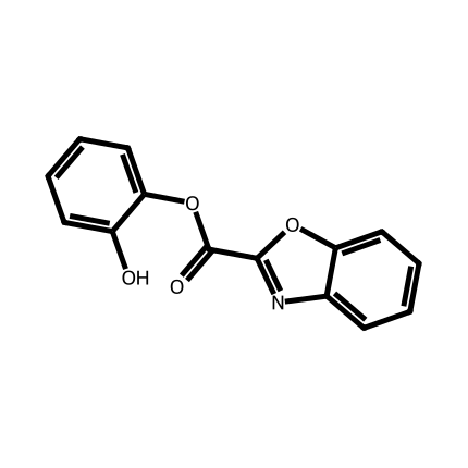 O=C(Oc1ccccc1O)c1nc2ccccc2o1